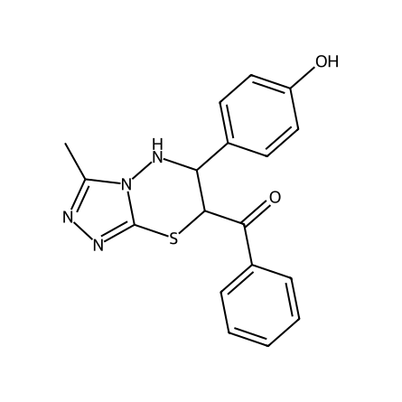 Cc1nnc2n1NC(c1ccc(O)cc1)C(C(=O)c1ccccc1)S2